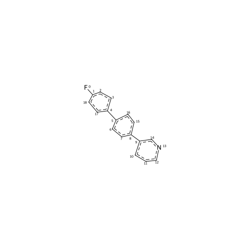 Fc1ccc(-c2ccc(-c3cccnc3)cc2)cc1